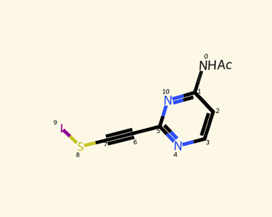 CC(=O)Nc1ccnc(C#CSI)n1